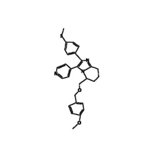 COc1ccc(COCC2CCCc3nc(-c4ccc(SC)cc4)c(-c4ccncc4)n32)cc1